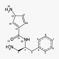 NC[C@H](Cc1ccccc1)NC(=O)C1=CC(N)C=C1